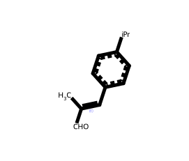 C/C(C=O)=C\c1ccc(C(C)C)cc1